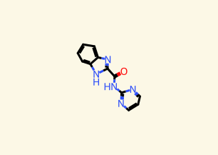 O=C(Nc1ncccn1)c1nc2ccccc2[nH]1